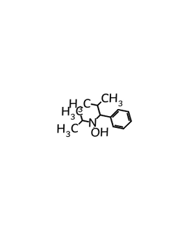 CC(C)C(c1ccccc1)N(O)C(C)C